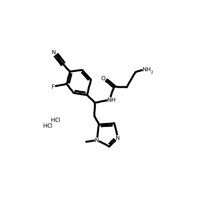 Cl.Cl.Cn1cncc1CC(NC(=O)CCN)c1ccc(C#N)c(F)c1